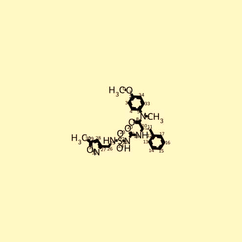 COc1ccc(N(C)C(=O)[C@H](Cc2ccccc2)NC(=O)NS(=O)(=O)NCc2cc(C)on2)cc1